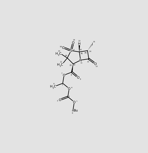 CCCCOC(=O)OC(C)OC(=O)[C@@H]1N2C(=O)[C@@H](I)[C@H]2S(=O)(=O)C1(C)C